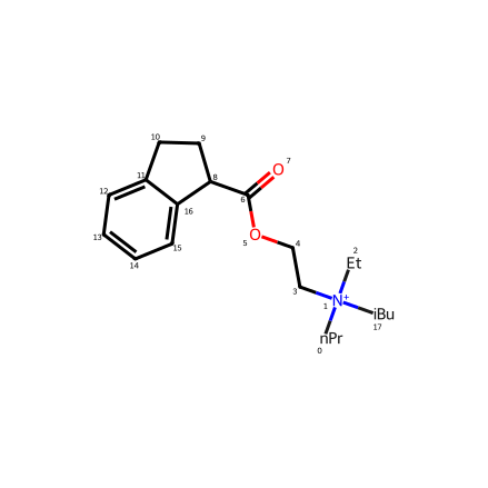 CCC[N+](CC)(CCOC(=O)C1CCc2ccccc21)C(C)CC